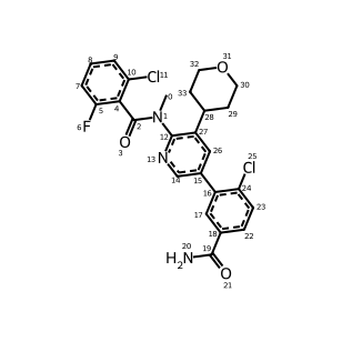 CN(C(=O)c1c(F)cccc1Cl)c1ncc(-c2cc(C(N)=O)ccc2Cl)cc1C1CCOCC1